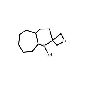 SN1C2CCCCCC2CCC12COC2